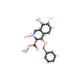 COC(=O)c1c(OCc2ccccc2)c2ccc(F)c(Br)c2c[n+]1[O-]